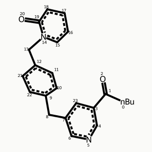 CCCCC(=O)c1cncc(Cc2ccc(Cn3ccccc3=O)cc2)c1